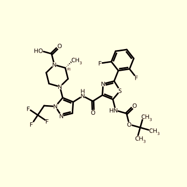 C[C@@H]1CN(c2c(NC(=O)c3nc(-c4c(F)cccc4F)sc3NC(=O)OC(C)(C)C)cnn2CC(F)(F)F)CCN1C(=O)O